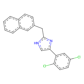 Clc1ccc(Cl)c(-c2c[nH]c(Cc3ccc4ccccc4c3)n2)c1